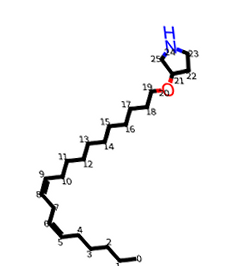 CCCCC/C=C\C/C=C\CCCCCCCCCCOC1CCNC1